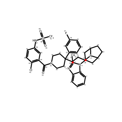 Cc1nc2ccccc2n1C1CC2CCC(C1)N2CCCC1(c2cccc(F)c2)CCN(C(=O)c2cc(NS(=O)(=O)C(F)(F)F)ccc2Cl)CC1